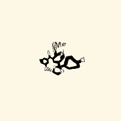 CNc1ncc(C2(c3ccc(Cl)cc3)OCCO2)cc1C(=O)c1cccc(OC)c1